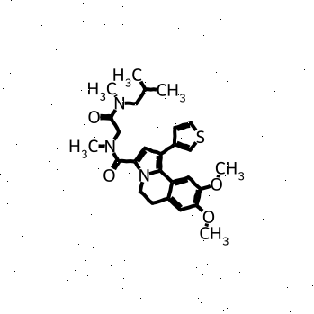 COc1cc2c(cc1OC)-c1c(-c3ccsc3)cc(C(=O)N(C)CC(=O)N(C)CC(C)C)n1CC2